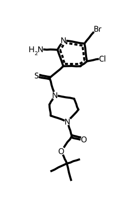 CC(C)(C)OC(=O)N1CCN(C(=S)c2cc(Cl)c(Br)nc2N)CC1